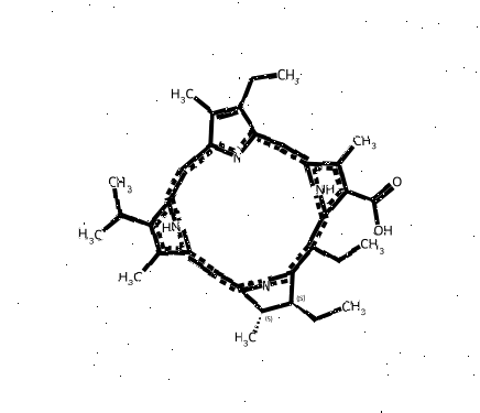 CCC1=C(C)c2cc3[nH]c(cc4nc(c(CC)c5[nH]c(cc1n2)c(C)c5C(=O)O)[C@@H](CC)[C@@H]4C)c(C)c3C(C)C